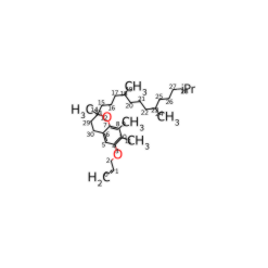 C=CCOc1cc2c(c(C)c1C)OC(C)(CCCC(C)CCCC(C)CCCC(C)C)CC2